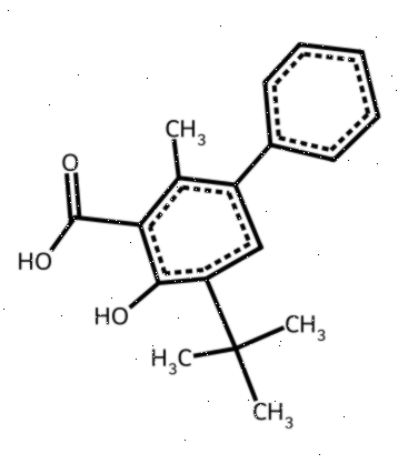 Cc1c(-c2ccccc2)cc(C(C)(C)C)c(O)c1C(=O)O